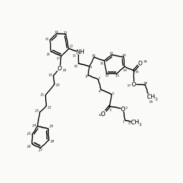 CCOC(=O)CCCCC(CNc1ccccc1OCCCCCc1ccccc1)Cc1ccc(C(=O)OCC)cc1